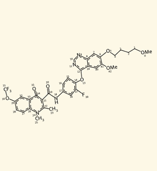 COCCCCOc1cc2ncnc(Oc3ccc(NC(=O)c4c(C)n(C)c5ccc(OC(F)(F)F)cc5c4=O)cc3F)c2cc1OC